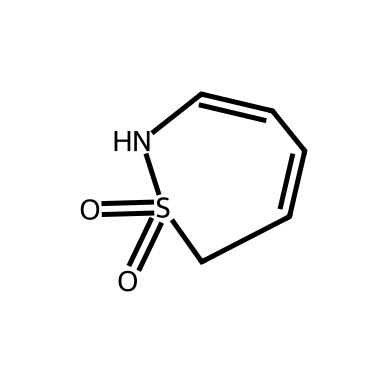 O=S1(=O)CC=CC=CN1